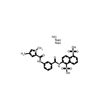 Cl.Cn1cc(N)cc1C(=O)Nc1cccc(C(=O)Nc2ccc3c(S(=O)(=O)O)cccc3c2S(=O)(=O)O)c1.[NaH].[NaH]